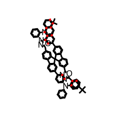 CC(C)(C)c1ccc(-c2nnc(-c3ccc4c(c3)C3(c5cc(-c6ccc(N(c7ccccc7)c7ccccc7)cc6)ccc5-4)c4cc(-c5ccc(N(c6ccccc6)c6ccccc6)cc5)ccc4-c4ccc(-c5nnc(-c6ccc(C(C)(C)C)cc6)o5)cc43)o2)cc1